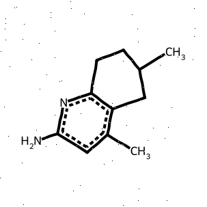 Cc1cc(N)nc2c1CC(C)CC2